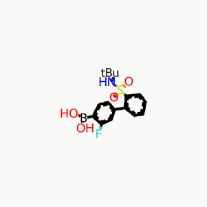 CC(C)(C)NS(=O)(=O)c1ccccc1-c1ccc(B(O)O)c(F)c1